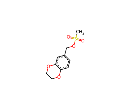 CS(=O)(=O)OCc1ccc2c(c1)OCCO2